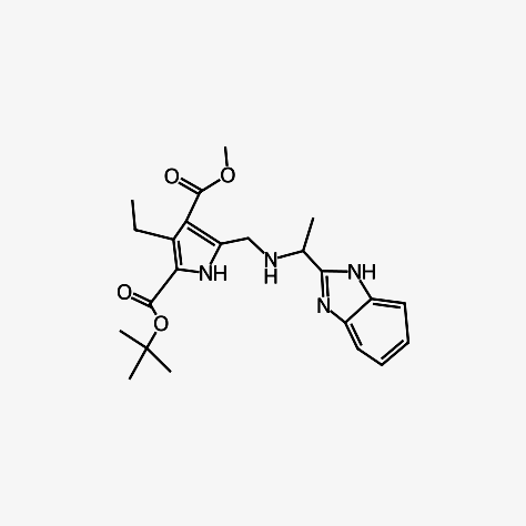 CCc1c(C(=O)OC(C)(C)C)[nH]c(CNC(C)c2nc3ccccc3[nH]2)c1C(=O)OC